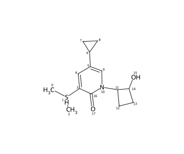 C[SH](C)c1cc(C2CC2)cn(C2CCC2O)c1=O